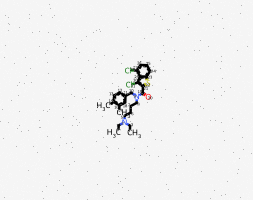 CCN(CC)CCCCN(Cc1ccc(C)c(C)c1)C(=O)c1sc2cccc(Cl)c2c1Cl